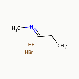 Br.Br.[CH2]C/[C]=N/C